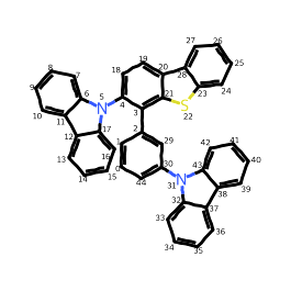 c1cc(-c2c(-n3c4ccccc4c4ccccc43)ccc3c2sc2ccccc23)cc(-n2c3ccccc3c3ccccc32)c1